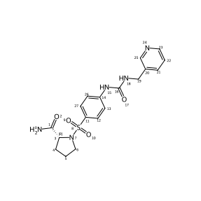 NC(=O)[C@H]1CCCN1S(=O)(=O)c1ccc(NC(=O)NCc2cccnc2)cc1